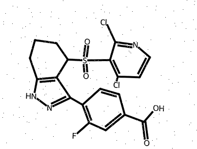 O=C(O)c1ccc(-c2n[nH]c3c2C(S(=O)(=O)c2c(Cl)ccnc2Cl)CCC3)c(F)c1